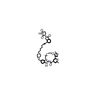 Cc1cc2cc(n1)-c1cnn(C)c1OCCC[C@@H](C)CN1/C(=N/C2=O)Nc2ccc(CN3CCN(CCCCCC#Cc4cccc5c4CN(C4CCC(=O)NC4=O)C5=O)CC3)cc21